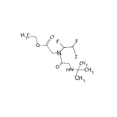 CCOC(=O)CN(C(=O)CNC(C)(C)C)C(F)C(F)F